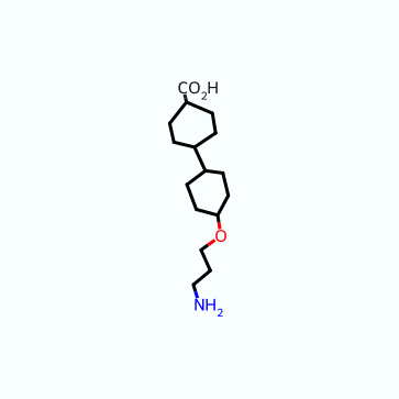 NCCCOC1CCC(C2CCC(C(=O)O)CC2)CC1